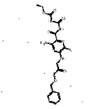 CCOC(=O)NC(=N)NC(=O)c1nc(Cl)c(NCC(=O)COCc2ccccc2)nc1N